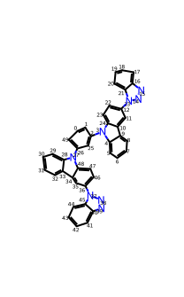 c1cc(-n2c3ccccc3c3cc(-n4nnc5ccccc54)ccc32)cc(-n2c3ccccc3c3cc(-n4nnc5ccccc54)ccc32)c1